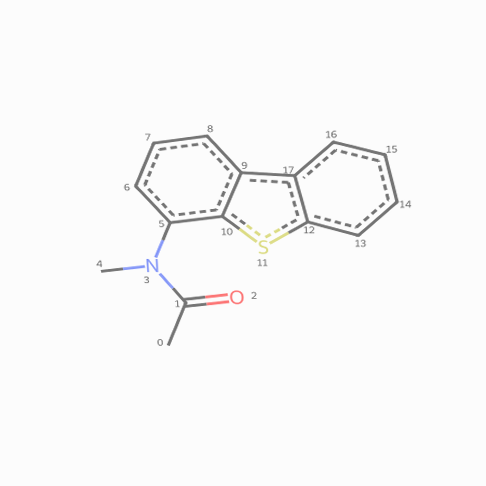 CC(=O)N(C)c1cccc2c1sc1ccccc12